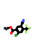 COC(=O)c1cc(C#N)c(C(F)(F)F)cc1Cl